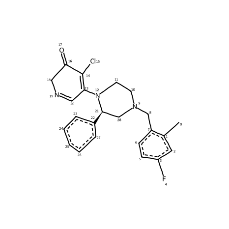 Cc1cc(F)ccc1CN1CCN(C2=C(Cl)C(=O)CN=C2)[C@H](c2ccccc2)C1